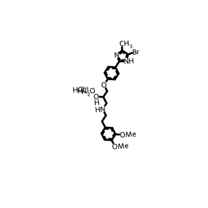 COc1ccc(CCNCC(O)COc2ccc(-c3nc(C)c(Br)[nH]3)cc2)cc1OC.Cl.Cl.O